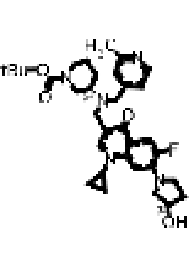 Cc1cc(CN(Cc2cn(C3CC3)c3cc(N4CC[C@@H](O)C4)c(F)cc3c2=O)[C@H]2CCCN(C(=O)OC(C)(C)C)C2)ccn1